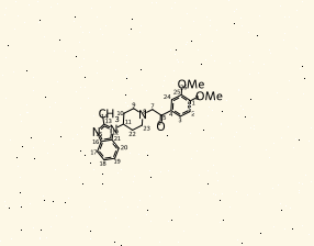 COc1ccc(C(=O)CN2CCC(n3c(C)nc4ccccc43)CC2)cc1OC